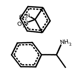 CC(N)c1ccccc1.O=[N+]([O-])C1([N+](=O)[O-])c2cccc1c2